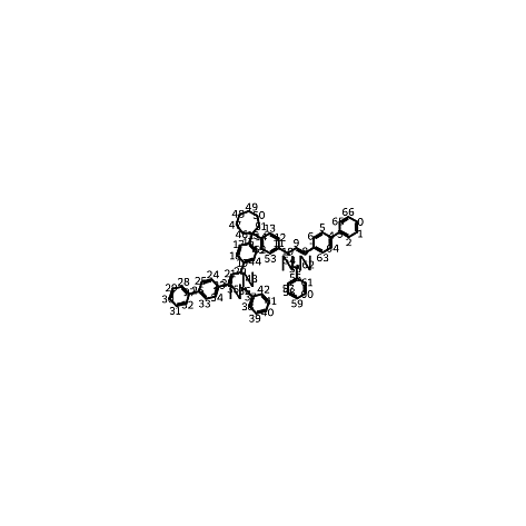 c1ccc(-c2ccc(-c3cc(-c4ccc(C5(c6ccc(-c7cc(-c8ccc(-c9ccccc9)cc8)nc(-c8ccccc8)n7)cc6)CCCCCC5)cc4)nc(-c4ccccc4)n3)cc2)cc1